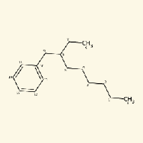 CCCCCCC(CC)Cc1ccccc1